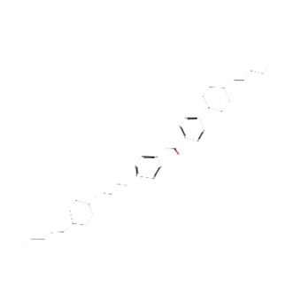 CCCCCC1CCC(CCCOc2ccc(OC(=O)c3ccc(C4CCC(CCCCC)CC4)cc3)cc2)CC1